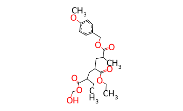 CCOC(=O)C(CC(C)C(=O)OCc1ccc(OC)cc1)CC(CC)C(=O)OCO